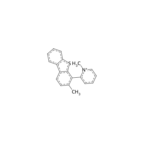 Cc1ccc2c(sc3ccccc32)c1-c1cccc[n+]1C